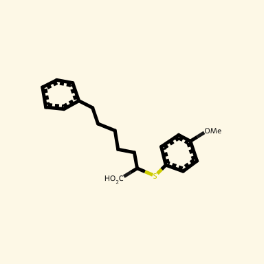 COc1ccc(SC(CCCCCc2ccccc2)C(=O)O)cc1